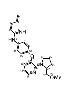 C=C/C=C\C(=N)Nc1ccc(Oc2nccnc2N2CCC[C@H]2COC)cc1